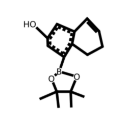 CC1(C)OB(c2cc(O)cc3c2CCC=C3)OC1(C)C